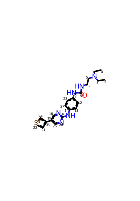 CCN(CC)CCNC(=O)Nc1ccc(Nc2ncc(-c3ccsc3)cn2)cc1